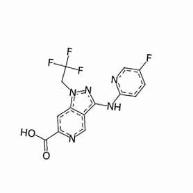 O=C(O)c1cc2c(cn1)c(Nc1ccc(F)cn1)nn2CC(F)(F)F